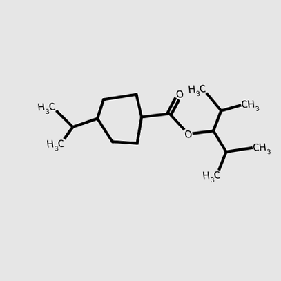 CC(C)C1CCC(C(=O)OC(C(C)C)C(C)C)CC1